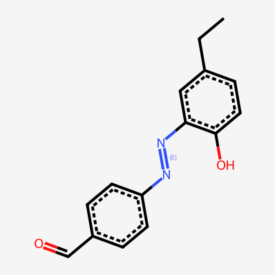 CCc1ccc(O)c(/N=N/c2ccc(C=O)cc2)c1